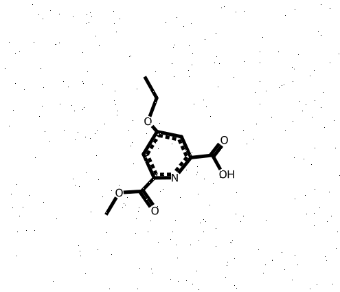 CCOc1cc(C(=O)O)nc(C(=O)OC)c1